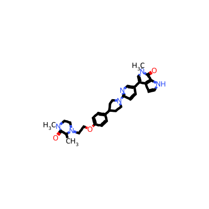 CC1C(=O)N(C)CCN1CCOc1ccc(C2CCN(c3ccc(-c4cn(C)c(=O)c5[nH]ccc45)cn3)CC2)cc1